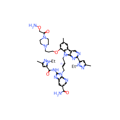 CCn1nc(C)cc1C(=O)Nc1nc2cc(C(N)=O)cnc2n1C/C=C/Cn1c2nc(-c3cc(C)nn3CC)ncc2c2cc(C)cc(OCCCN3CCN(C(=O)CON)CC3)c21